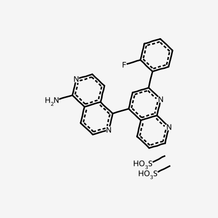 CS(=O)(=O)O.CS(=O)(=O)O.Nc1nccc2c(-c3cc(-c4ccccc4F)nc4ncccc34)nccc12